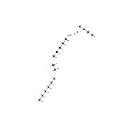 O=S(=O)(OCC(F)(F)C(F)(F)C(F)(F)C(F)(F)C(F)(F)OC(F)(F)C(F)(F)OC(F)(F)C(F)(F)C(F)(F)C(F)(F)C(F)(F)C(F)(F)F)C(F)(F)C(F)(F)C(F)(F)C(F)(F)F